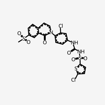 CS(=O)(=O)c1ccc2ccn(-c3ccc(NC(=O)NS(=O)(=O)c4ccc(Cl)s4)cc3Cl)c(=O)c2c1